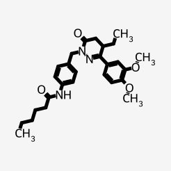 CCCCCC(=O)Nc1ccc(CN2N=C(c3ccc(OC)c(OC)c3)C(CC)CC2=O)cc1